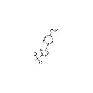 CC(C)Oc1ccc(-c2ccc(S(C)(=O)=O)s2)cc1